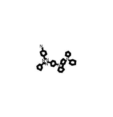 N#Cc1ccc(-c2nc(-c3ccccc3)nc(-c3ccc(-n4c5ccccc5c5cc(N(c6ccccc6)c6ccccc6)ccc54)cc3)n2)cc1